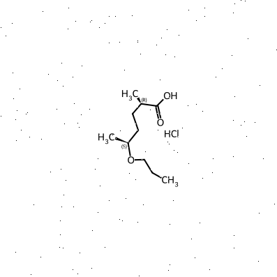 CCCO[C@@H](C)CC[C@@H](C)C(=O)O.Cl